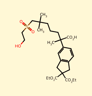 CCOC(=O)C1(C(=O)OCC)Cc2ccc(C(C)(CCCC(C)(C)CS(=O)(=O)CCO)C(=O)O)cc2C1